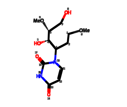 COCCC([C@H](O)[C@@H](CO)OC)n1ccc(=O)[nH]c1=O